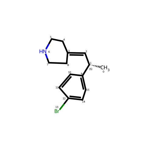 C[C@@H](C=C1CCNCC1)c1ccc(Br)cc1